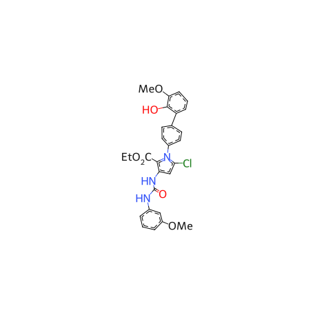 CCOC(=O)c1c(NC(=O)Nc2cccc(OC)c2)cc(Cl)n1-c1ccc(-c2cccc(OC)c2O)cc1